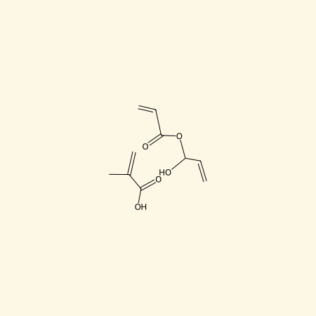 C=C(C)C(=O)O.C=CC(=O)OC(O)C=C